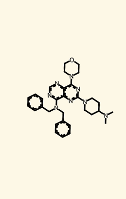 CN(C)C1CCN(c2nc(N3CCOCC3)c3ncnc(N(Cc4ccccc4)Cc4ccccc4)c3n2)CC1